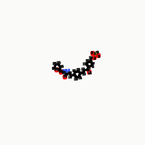 CS(=O)(=O)OCc1ccc(C(=O)C=Cc2ccc(C=CC(=O)NOC3CCCCO3)cc2)cc1